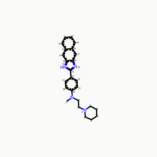 CN(CCN1CCCCC1)c1ccc(-c2nc3cc4ccccc4cc3[nH]2)cc1